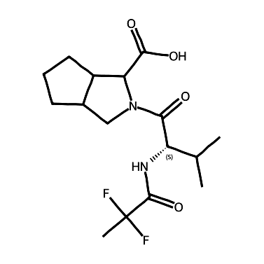 CC(C)[C@H](NC(=O)C(C)(F)F)C(=O)N1CC2CCCC2C1C(=O)O